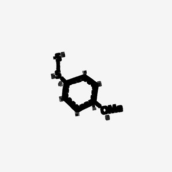 COc1ccc(S[S])cc1